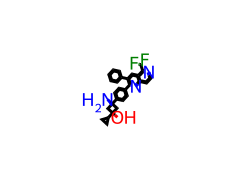 NC1(c2ccc(-c3nc4ccnc(C(F)F)c4cc3-c3ccccc3)cc2)CC(O)(C2CC2)C1